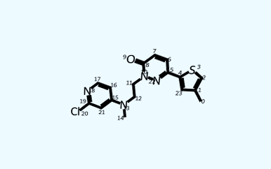 Cc1csc(-c2ccc(=O)n(CCN(C)c3ccnc(Cl)c3)n2)c1